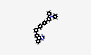 C1=CC2C3=C(C=CC(c4ccc(-c5ccc(-c6cccc(-c7ccc8c9ccccc9c9nccnc9c8c7)c6)cc5)cc4)C3)N(c3ccccc3)C2C=C1